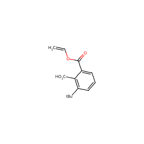 C=COC(=O)c1cccc(C(C)(C)C)c1C(=O)O